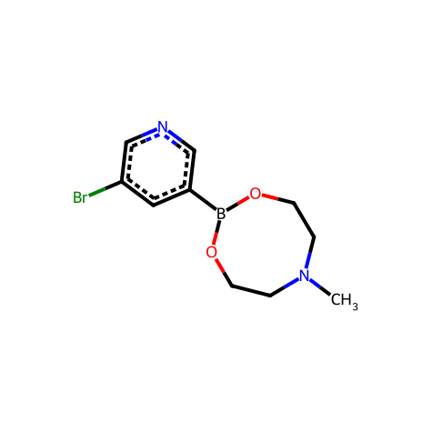 CN1CCOB(c2cncc(Br)c2)OCC1